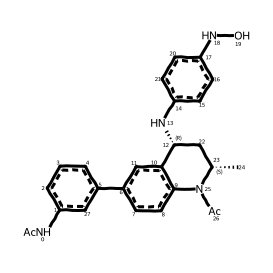 CC(=O)Nc1cccc(-c2ccc3c(c2)[C@H](Nc2ccc(NO)cc2)C[C@H](C)N3C(C)=O)c1